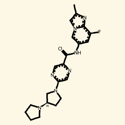 Cc1cn2cc(NC(=O)c3cnc(N4CC[C@@H](N5CCCC5)C4)cn3)cc(F)c2n1